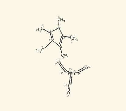 CC1=C(C)C(C)C(C)=C1C.O=[C]=[Mn](=[C]=O)=[C]=O